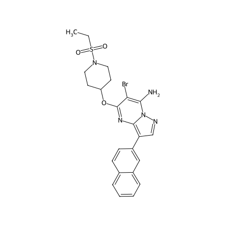 CCS(=O)(=O)N1CCC(Oc2nc3c(-c4ccc5ccccc5c4)cnn3c(N)c2Br)CC1